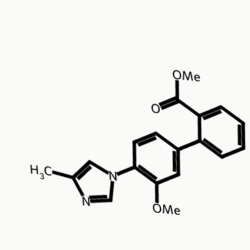 COC(=O)c1ccccc1-c1ccc(-n2cnc(C)c2)c(OC)c1